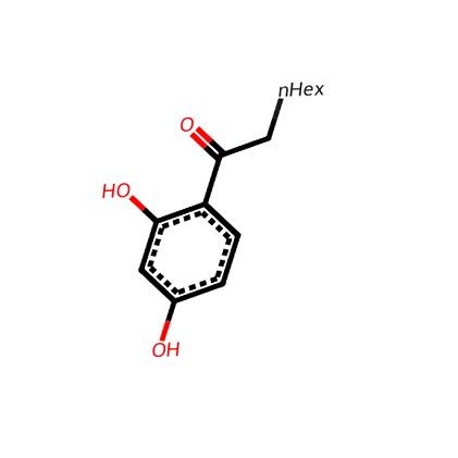 CCCCCCCC(=O)c1ccc(O)cc1O